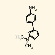 CN(C)c1[c]c(-c2ccc(N)cc2)ccc1